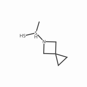 C[SH](S)N1CC2(CC2)C1